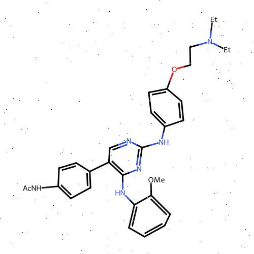 CCN(CC)CCOc1ccc(Nc2ncc(-c3ccc(NC(C)=O)cc3)c(Nc3ccccc3OC)n2)cc1